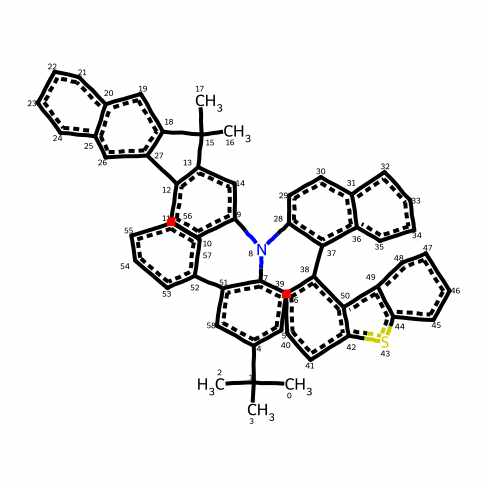 CC(C)(C)c1ccc(N(c2ccc3c(c2)C(C)(C)c2cc4ccccc4cc2-3)c2ccc3ccccc3c2-c2cccc3sc4ccccc4c23)c(-c2ccccc2)c1